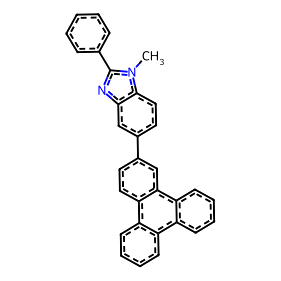 Cn1c(-c2ccccc2)nc2cc(-c3ccc4c5ccccc5c5ccccc5c4c3)ccc21